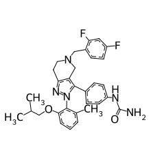 Cc1cccc(OCC(C)C)c1-n1nc2c(c1-c1ccc(NC(N)=O)cc1)CN(Cc1ccc(F)cc1F)CC2